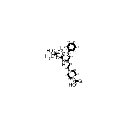 CC(C)(C)OC(=O)N[C@H](CCN1CCN(C(=O)O)CC1)CSc1ccccc1